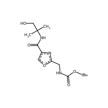 CC(C)(CO)NC(=O)c1coc(CNC(=O)OC(C)(C)C)n1